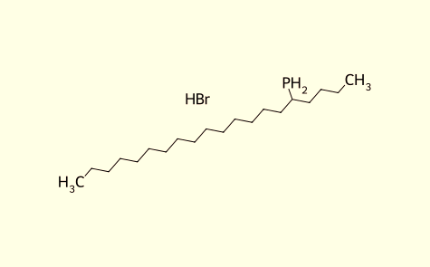 Br.CCCCCCCCCCCCCCCC(P)CCCC